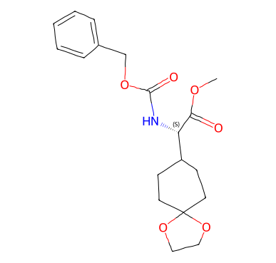 COC(=O)[C@@H](NC(=O)OCc1ccccc1)C1CCC2(CC1)OCCO2